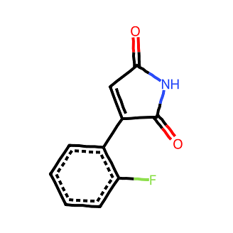 O=C1C=C(c2ccccc2F)C(=O)N1